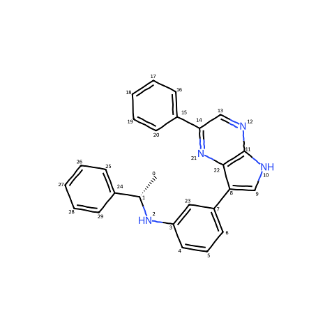 C[C@H](Nc1cccc(-c2c[nH]c3ncc(-c4ccccc4)nc23)c1)c1ccccc1